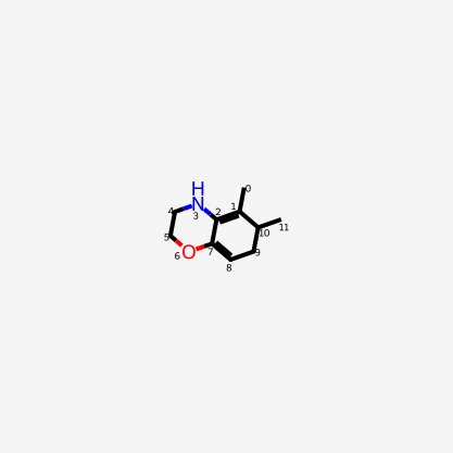 CC1=C2NCCOC2=CCC1C